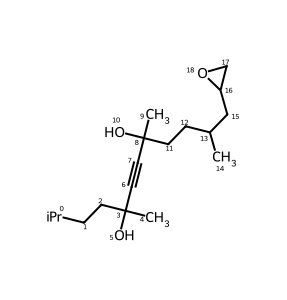 CC(C)CCC(C)(O)C#CC(C)(O)CCC(C)CC1CO1